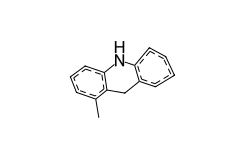 Cc1cccc2c1Cc1ccccc1N2